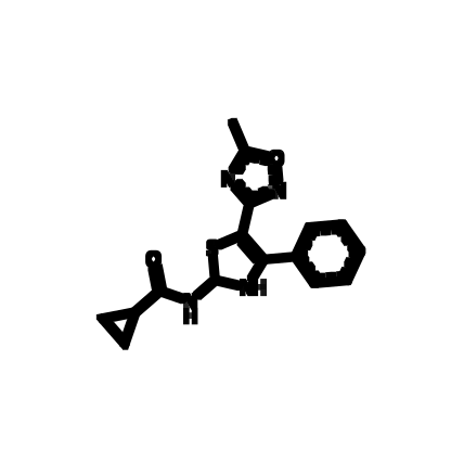 Cc1nc(C2=C(c3ccccc3)NC(NC(=O)C3CC3)S2)no1